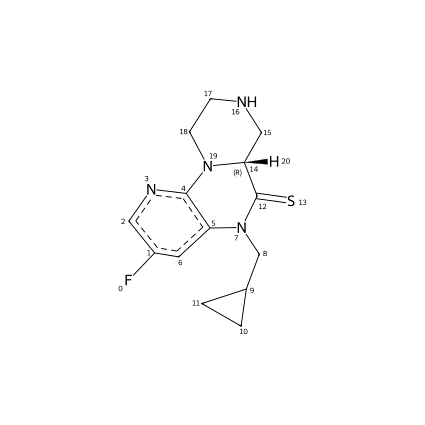 Fc1cnc2c(c1)N(CC1CC1)C(=S)[C@H]1CNCCN21